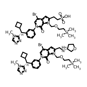 Cn1cnnc1[C@@H](c1cccc(-n2cc(Br)c3cc(CCS(=O)(=O)O)n(COCC[Si](C)(C)C)c3c2=O)c1)C1CCC1.Cn1cnnc1[C@@H](c1cccc(-n2cc(Br)c3cc(CN[C@@H]4CCOC4)n(COCC[Si](C)(C)C)c3c2=O)c1)C1CCC1